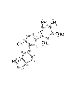 CN1C(N)=NC(C)(c2ccc(Cl)c(-c3ccc4cc[nH]c4c3)c2)CC1C=O